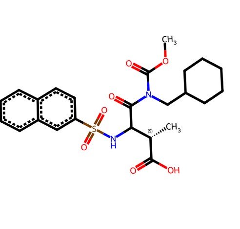 COC(=O)N(CC1CCCCC1)C(=O)C(NS(=O)(=O)c1ccc2ccccc2c1)[C@H](C)C(=O)O